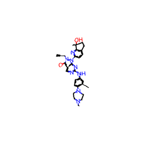 C#CCn1c(=O)c2cnc(Nc3ccc(N4CCN(C)CC4)c(C)c3)nc2n1-c1ccc2c(n1)C(C)(O)CC2